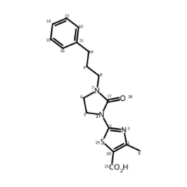 Cc1nc(N2CCN(CCCc3ccccc3)C2=O)sc1C(=O)O